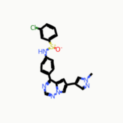 Cn1cc(-c2cc3c(-c4ccc(N[S+]([O-])c5cccc(Cl)c5)cc4)ncnn3c2)cn1